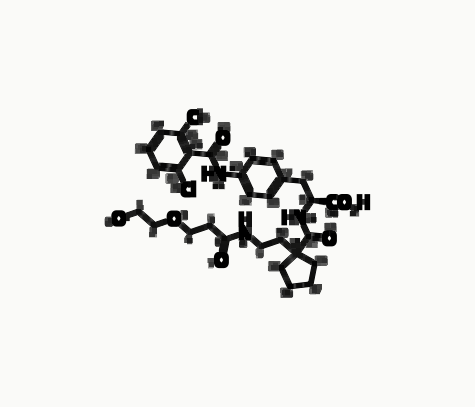 [O]CCOCCC(=O)NCCC1(C(=O)N[C@@H](Cc2ccc(NC(=O)c3c(Cl)cccc3Cl)cc2)C(=O)O)CCCC1